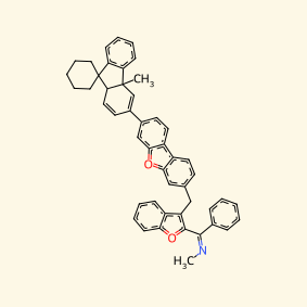 C/N=C(/c1ccccc1)c1oc2ccccc2c1Cc1ccc2c(c1)oc1cc(C3=CC4(C)c5ccccc5C5(CCCCC5)C4C=C3)ccc12